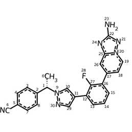 C[C@@H](c1ccc(C#N)cc1)n1cc(-c2cccc(-c3ccn4nc(N)nc4c3)c2F)cn1